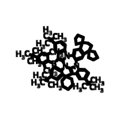 Cc1cc(C(C)(C)C)cc(C)c1B1c2cc(C(C)(C)C)cc3c2-n2c4c1c1cc(C(C)(C)C)ccc1n4c1cc4c(cc1n1c5ccc(C(C)(C)C)cc5c(c21)C31CCCCC1)C1(CCCC1)CCC41CCCC1